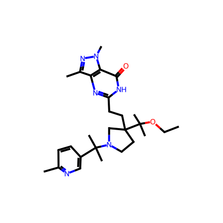 CCOC(C)(C)C1(CCc2nc3c(C)nn(C)c3c(=O)[nH]2)CCN(C(C)(C)c2ccc(C)nc2)C1